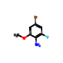 COc1cc(Br)cc(F)c1N